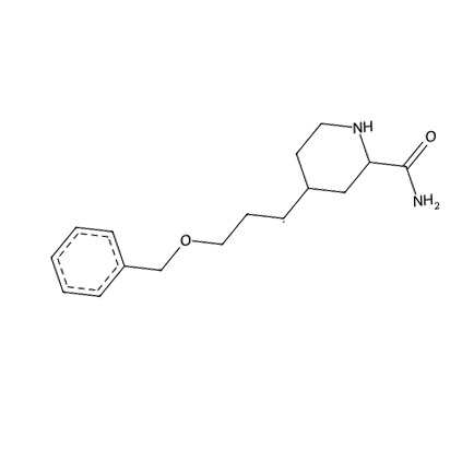 NC(=O)C1CC([CH]CCOCc2ccccc2)CCN1